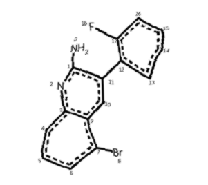 Nc1nc2cccc(Br)c2cc1-c1ccccc1F